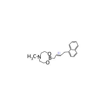 CN1CCOB(C/C=C/Cc2cccc3ccccc23)OCC1